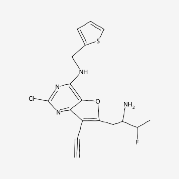 C#Cc1c(CC(N)C(C)F)oc2c(NCc3cccs3)nc(Cl)nc12